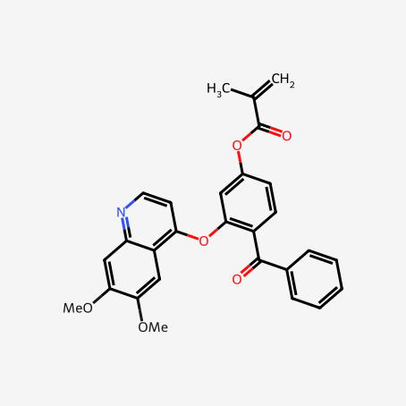 C=C(C)C(=O)Oc1ccc(C(=O)c2ccccc2)c(Oc2ccnc3cc(OC)c(OC)cc23)c1